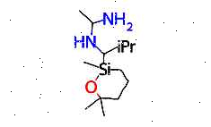 CC(N)NC(C(C)C)[Si]1(C)CCCC(C)(C)O1